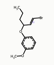 CCCC(/C=C/Br)Oc1cccc(OC)c1